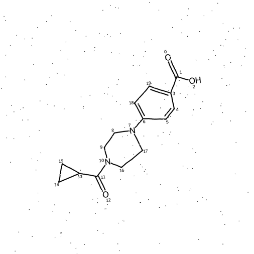 O=C(O)c1ccc(N2CCN(C(=O)C3CC3)CC2)cc1